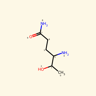 CC(O)C(N)CCC(N)=O